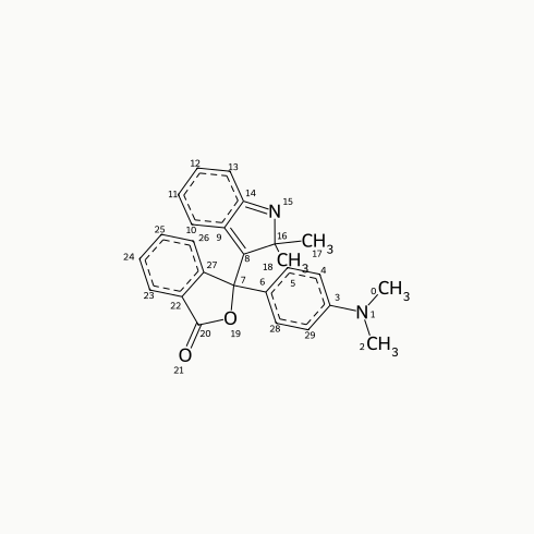 CN(C)c1ccc(C2(C3=c4ccccc4=NC3(C)C)OC(=O)c3ccccc32)cc1